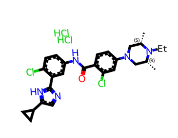 CCN1[C@H](C)CN(c2ccc(C(=O)Nc3ccc(Cl)c(-c4ncc(C5CC5)[nH]4)c3)c(Cl)c2)C[C@@H]1C.Cl.Cl